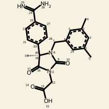 Cc1cc(C)cc(CN2C(=O)N(CC(=O)O)C(=O)[C@@]2(C)c2ccc(C(=N)N)cc2)c1